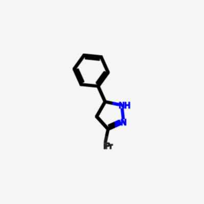 CC(C)C1=NNC(c2ccccc2)C1